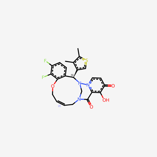 Cc1scc([C@@H]2c3ccc(F)c(F)c3OC/C=C\CN3CN2n2ccc(=O)c(O)c2C3=O)c1C